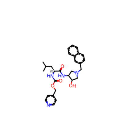 CC(C)C[C@H](NC(=O)OCc1ccncc1)C(=O)NC1CN(Cc2ccc3ccccc3c2)CC1O